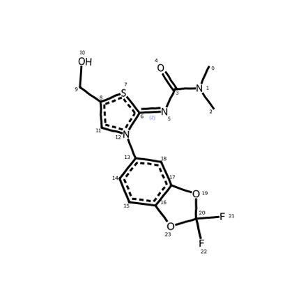 CN(C)C(=O)/N=c1\sc(CO)cn1-c1ccc2c(c1)OC(F)(F)O2